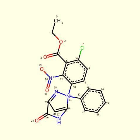 CCOC(=O)c1c(Cl)ccc([N+]2(c3ccccc3)N=C3C=C2NC3=O)c1[N+](=O)[O-]